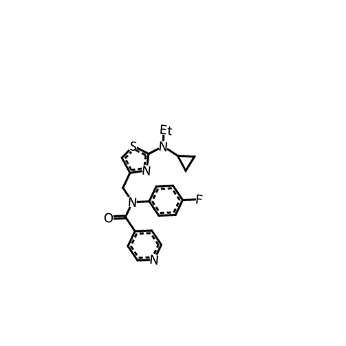 CCN(c1nc(CN(C(=O)c2ccncc2)c2ccc(F)cc2)cs1)C1CC1